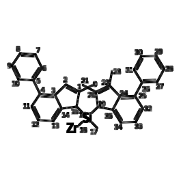 CC1=Cc2c(-c3ccccc3)cccc2C1[Si](C)([Zr])C1C(C)=C(C)c2c(-c3ccccc3)cccc21